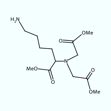 COC(=O)CN(CC(=O)OC)C(CCCCN)C(=O)OC